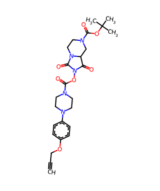 C#CCOc1ccc(N2CCN(C(=O)ON3C(=O)C4CN(C(=O)OC(C)(C)C)CCN4C3=O)CC2)cc1